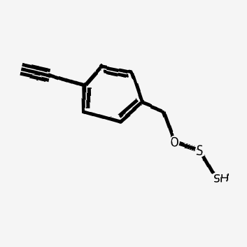 C#Cc1ccc(COSS)cc1